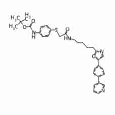 CC(C)(C)OC(=O)Nc1ccc(SCC(=O)NCCCCCc2ncc(-c3ccc(-c4cccnc4)cc3)o2)cc1